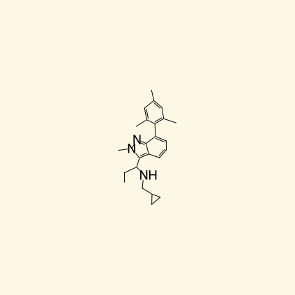 CCC(NCC1CC1)c1c2cccc(-c3c(C)cc(C)cc3C)c2nn1C